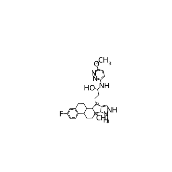 COc1ccc(NC(O)CC[C@@H]2C3=CNNC3[C@@]3(C)CCC4c5ccc(F)cc5CCC4C23)nn1